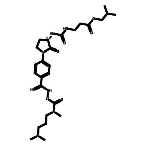 CC(C)COC(=O)CCNC(=O)N[C@H]1CCN(c2ccc(C(=N)NOC(=O)N(C)CCCN(C)C)cc2)C1=O